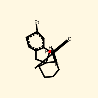 CCc1ccc2c(c1)C1(NC(=O)NC1=O)C1(CCCCC1)C2